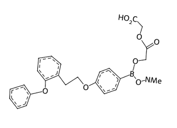 CNOB(OCC(=O)OCC(=O)O)c1ccc(OCCc2ccccc2Oc2ccccc2)cc1